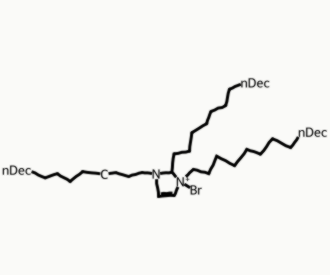 CCCCCCCCCCCCCCCCCCN1C=C[N+](Br)(CCCCCCCCCCCCCCCCCC)C1CCCCCCCCCCCCCCCCC